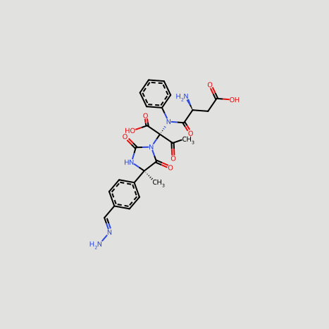 CC(=O)[C@](C(=O)O)(N1C(=O)N[C@](C)(c2ccc(C=NN)cc2)C1=O)N(C(=O)[C@@H](N)CC(=O)O)c1ccccc1